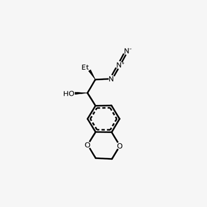 CC[C@@H](N=[N+]=[N-])[C@H](O)c1ccc2c(c1)OCCO2